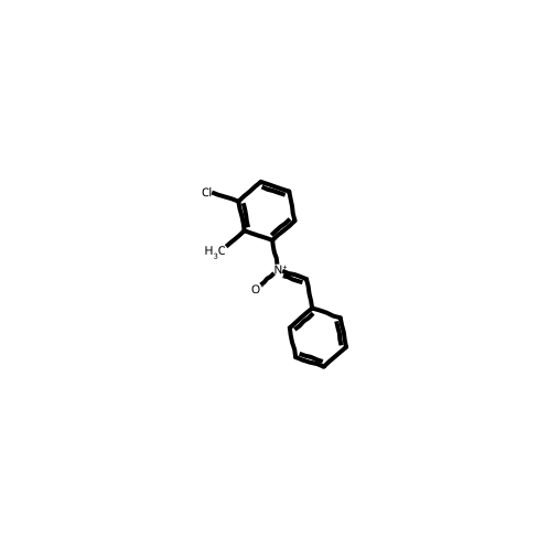 Cc1c(Cl)cccc1[N+]([O-])=Cc1ccccc1